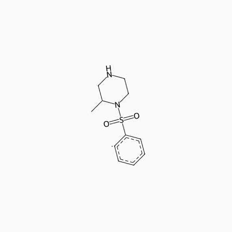 CC1CNCCN1S(=O)(=O)c1[c]cccc1